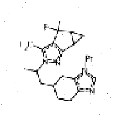 CC(C)n1cnc2c1CC(CC(C)n1nc3c(c1C(F)(F)F)C(F)(F)C1CC31)CC2